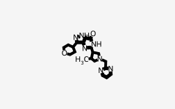 CC1CN(Cc2ncccn2)CC1c1nc2c(C3CCOCC3)n[nH]c2c(=O)[nH]1